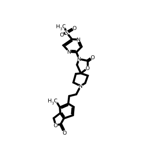 Cc1c(CCN2CCC3(CC2)CN(c2cnc(S(C)(=O)=O)cn2)C(=O)O3)ccc2c1COC2=O